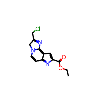 CCOC(=O)c1cc2c3n(ccc-2n1)CC(CCl)=N3